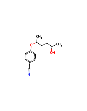 CC(O)CCC(C)Oc1ccc(C#N)cc1